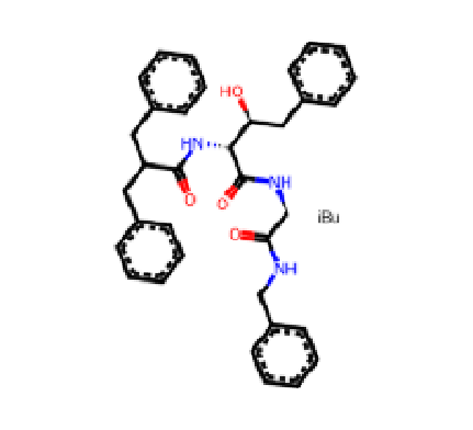 CC[C@H](C)[C@H](NC(=O)[C@H](NC(=O)C(Cc1ccccc1)Cc1ccccc1)[C@@H](O)Cc1ccccc1)C(=O)NCc1ccccc1